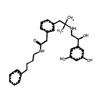 CC(C)(Cc1cccc(CC(=O)NCCCCc2ccccc2)c1)NCC(O)c1cc(O)cc(O)c1